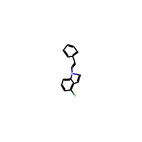 Fc1cccc2c1ccn2C=Cc1ccccc1